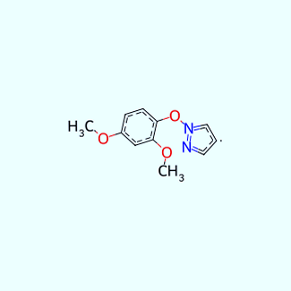 COc1ccc(On2c[c]cn2)c(OC)c1